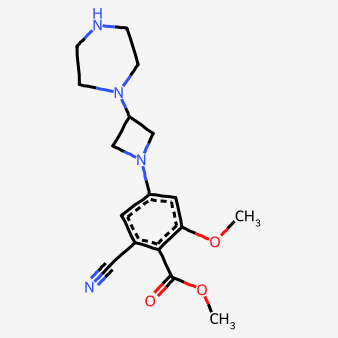 COC(=O)c1c(C#N)cc(N2CC(N3CCNCC3)C2)cc1OC